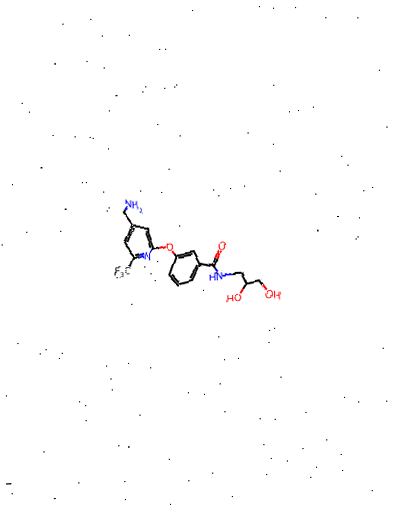 NCc1cc(Oc2cccc(C(=O)NCC(O)CO)c2)nc(C(F)(F)F)c1